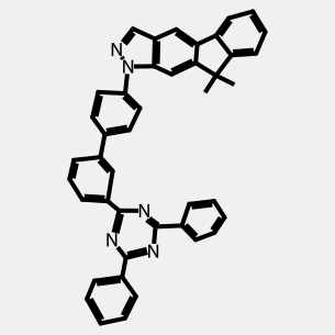 CC1(C)c2ccccc2-c2cc3cnn(-c4ccc(-c5cccc(-c6nc(-c7ccccc7)nc(-c7ccccc7)n6)c5)cc4)c3cc21